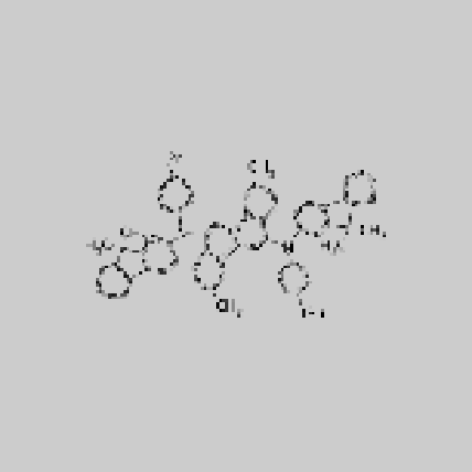 Cc1ccc2c(N(c3ccc(C(C)C)cc3)c3ccc4c(c3)C(C)(C)c3ccccc3-4)cc3c4cc(C)ccc4c(N(c4ccc(C(C)(C)C)cc4)c4ccc5c(c4)C(C)(C)c4ccccc4-5)cc3c2c1